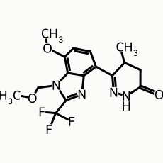 COCn1c(C(F)(F)F)nc2c(C3=NNC(=O)CC3C)ccc(OC)c21